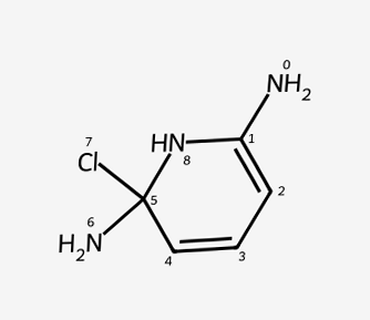 NC1=CC=CC(N)(Cl)N1